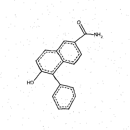 NC(=O)c1ccc2c(-c3ccccc3)c(O)ccc2c1